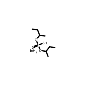 CCC(C)OP(=S)(S)OC(C)CC.[InH3]